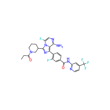 CCC(=O)N1CCCC(c2nc(-c3ccc(C(=O)Nc4cc(C(F)(F)F)ccn4)cc3F)c3c(N)ncc(F)n23)C1